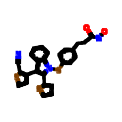 N#Cc1sccc1-c1c(-c2cccs2)n(Sc2ccc(CCC(=O)N=O)cc2)c2ccccc12